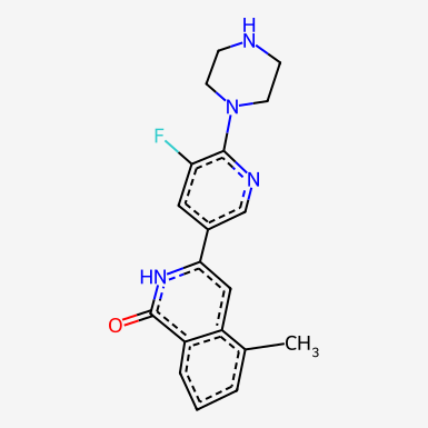 Cc1cccc2c(=O)[nH]c(-c3cnc(N4CCNCC4)c(F)c3)cc12